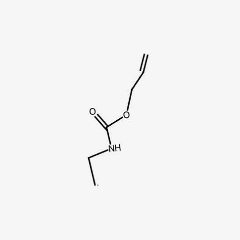 [CH2]CNC(=O)OCC=C